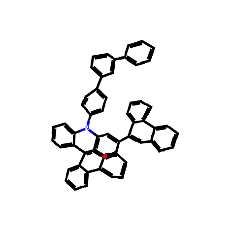 c1ccc(-c2cccc(-c3ccc(N(c4cccc(-c5cc6ccccc6c6ccccc56)c4)c4ccccc4-c4cc5ccccc5c5ccccc45)cc3)c2)cc1